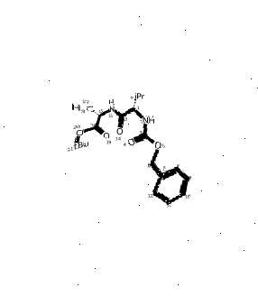 CC(C)[C@H](NC(=O)OCc1ccccc1)C(=O)N[C@@H](C)C(=O)OC(C)(C)C